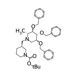 C[C@@H]1[C@@H](OCc2ccccc2)[C@H](OCc2ccccc2)[C@@H](OCc2ccccc2)CN1C[C@@H]1CCCN(C(=O)OC(C)(C)C)C1